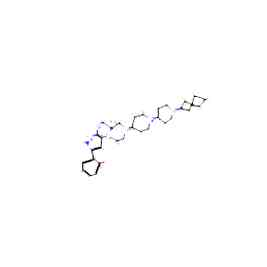 Oc1ccccc1-c1cc2c(nn1)NC[C@H]1CN(C3CCN(C4CCN(C5CC6(CCC6)C5)CC4)CC3)CCN21